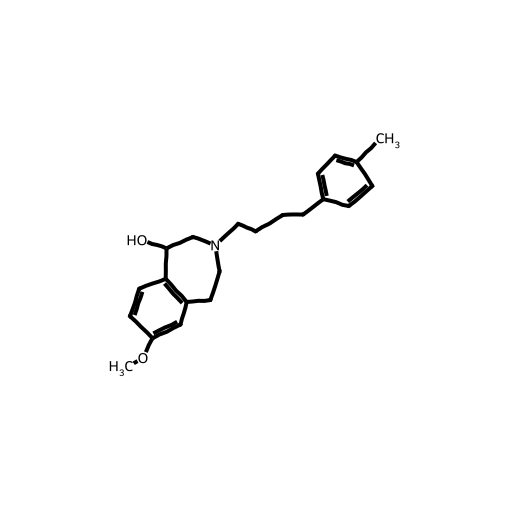 COc1ccc2c(c1)CCN(CCCCc1ccc(C)cc1)CC2O